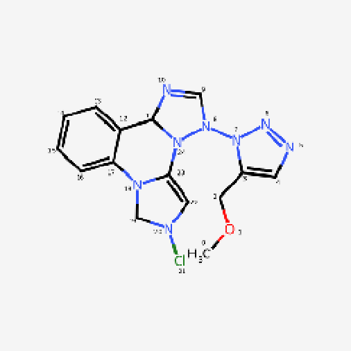 COCc1cnnn1N1C=NC2c3ccccc3N3CN(Cl)C=C3N21